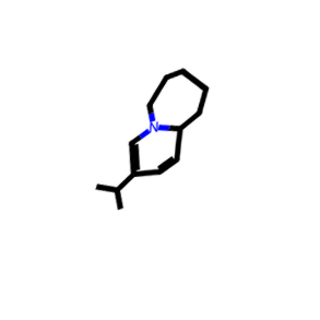 CC(C)C1=CN2CCCCCC2C=C1